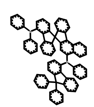 c1ccc(N(c2ccccc2)c2cccc3c2-c2ccccc2C32c3ccccc3-c3c2cc(N(c2ccccc2)c2cccc4c2-c2ccccc2C4(c2ccccc2)c2ccccc2)c2ccccc32)cc1